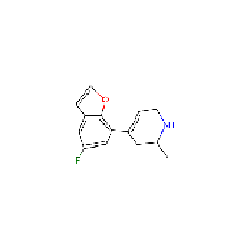 CC1CC(c2cc(F)cc3ccoc23)=CCN1